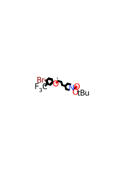 C[C@H](CCC1CCN(C(=O)OC(C)(C)C)CC1)Oc1ccc(Br)c(C(F)(F)F)c1